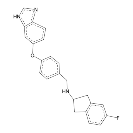 Fc1ccc2c(c1)CC(NCc1ccc(Oc3ccc4nc[nH]c4c3)cc1)C2